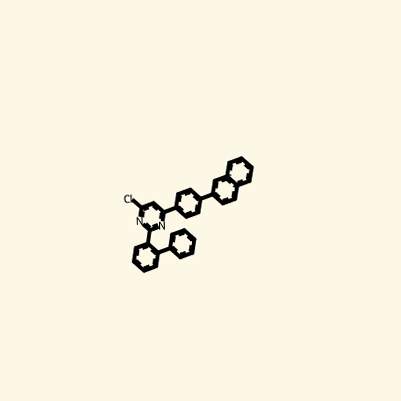 Clc1cc(-c2ccc(-c3ccc4ccccc4c3)cc2)nc(-c2ccccc2-c2ccccc2)n1